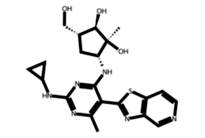 Cc1nc(NC2CC2)nc(N[C@@H]2C[C@H](CO)[C@@H](O)[C@@]2(C)O)c1-c1nc2cnccc2s1